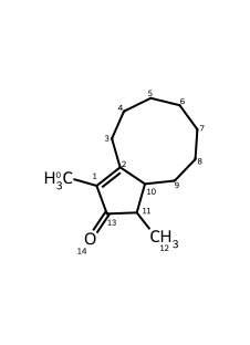 CC1=C2CCCCCCCC2C(C)C1=O